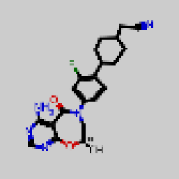 C[C@@H]1CN(c2ccc(C3CCC(CC#N)CC3)c(F)c2)C(=O)c2c(N)ncnc2O1